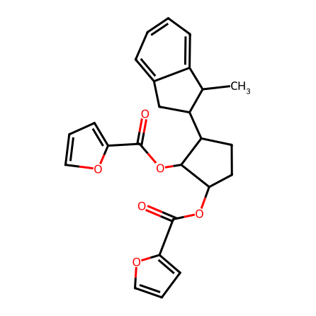 CC1c2ccccc2CC1C1CCC(OC(=O)c2ccco2)C1OC(=O)c1ccco1